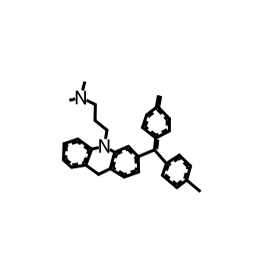 C=c1ccc(=C(c2ccc(C)cc2)c2ccc3c(c2)N(CCCN(C)C)c2ccccc2C3)cc1